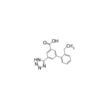 CCc1ccccc1-c1cc(C(=O)O)cc(-c2nnn[nH]2)c1